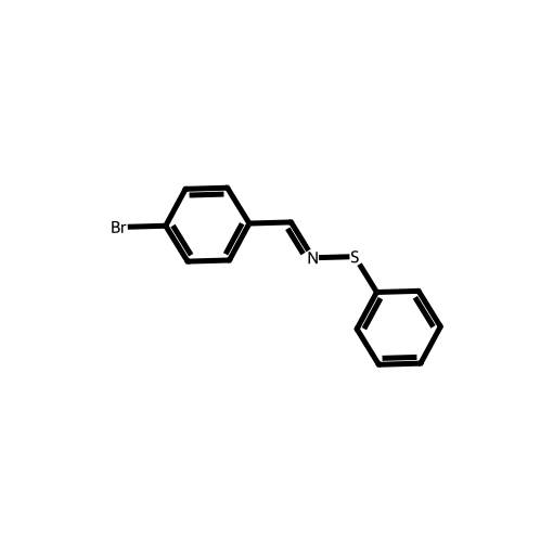 Brc1ccc(C=NSc2ccccc2)cc1